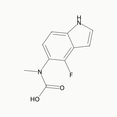 CN(C(=O)O)c1ccc2[nH]ccc2c1F